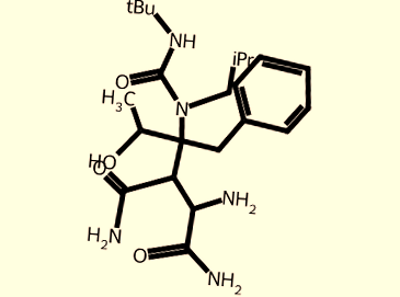 CC(C)CN(C(=O)NC(C)(C)C)C(Cc1ccccc1)(C(C)O)C(C(N)=O)C(N)C(N)=O